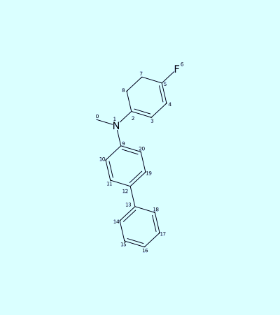 CN(C1=CC=C(F)CC1)c1ccc(-c2ccccc2)cc1